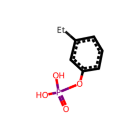 CCc1cccc(OP(=O)(O)O)c1